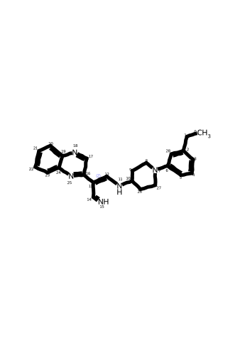 CCc1cccc(N2CCC(N/C=C(\C=N)c3cnc4ccccc4n3)CC2)c1